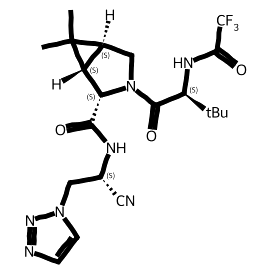 CC(C)(C)[C@H](NC(=O)C(F)(F)F)C(=O)N1C[C@H]2[C@H]([C@H]1C(=O)N[C@H](C#N)Cn1ccnn1)C2(C)C